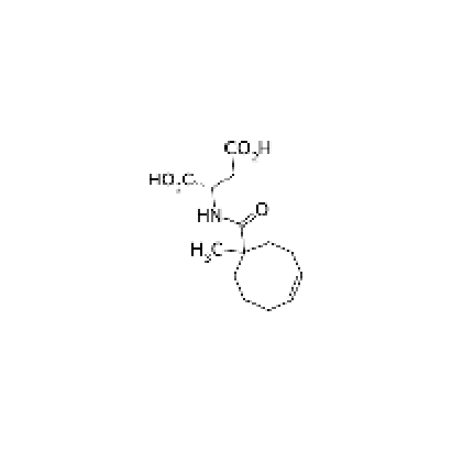 CC1(C(=O)N[C@@H](CC(=O)O)C(=O)O)CCC=CCCC1